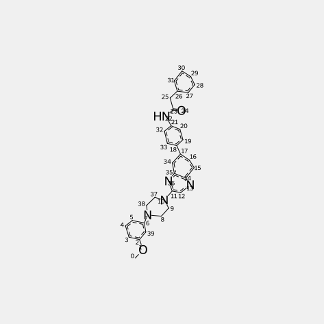 COc1cccc(N2CCN(c3cnc4ccc(-c5ccc(NC(=O)Cc6ccccc6)cc5)cc4n3)CC2)c1